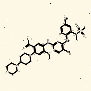 COc1cc(N2CCC(N3CCOCC3)CC2)c(C(=O)O)cc1Nc1ncc(Br)c(Nc2ccc(O)cc2N(C)S(C)(=O)=O)n1